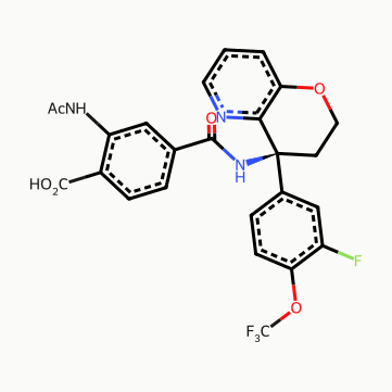 CC(=O)Nc1cc(C(=O)N[C@]2(c3ccc(OC(F)(F)F)c(F)c3)CCOc3cccnc32)ccc1C(=O)O